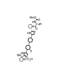 COC(=O)N[C@H](C(=O)N1CCC[C@H]1c1ncc(-c2ccc(-c3ccc(-c4cnc([C@@]5(C(C)(C)C)CCCN5C(=O)O)[nH]4)c(F)c3)cc2)[nH]1)C(C)C